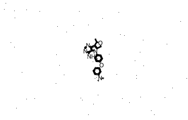 CC1OCc2c1c1ncnc(N)c1n2-c1ccc(Oc2cccc(N(C)C)c2)cc1